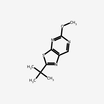 COc1ncc2nc(C(C)(C)C)sc2n1